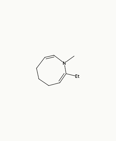 CC/C1=C/CCC/C=C\N1C